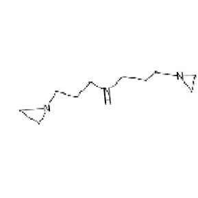 C(CNCCCN1CC1)CN1CC1